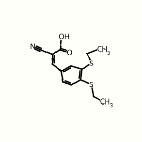 CCSc1ccc(C=C(C#N)C(=O)O)cc1SCC